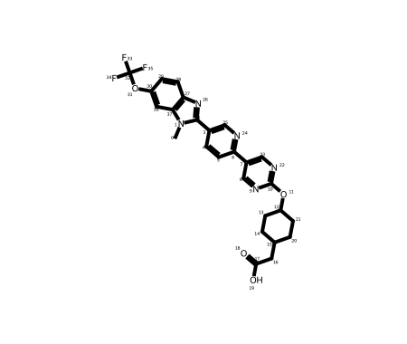 Cn1c(-c2ccc(-c3cnc(OC4CCC(CC(=O)O)CC4)nc3)nc2)nc2ccc(OC(F)(F)F)cc21